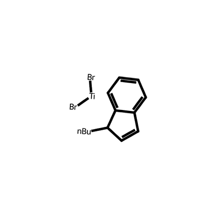 CCCC[C]1C=Cc2ccccc21.[Br][Ti][Br]